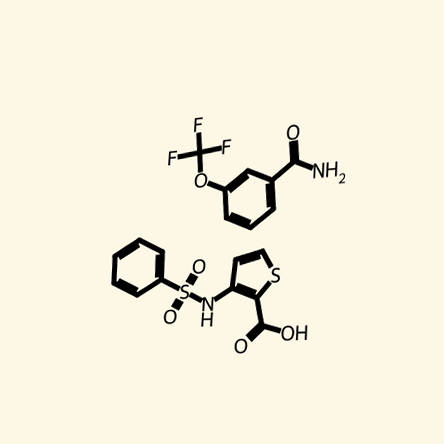 NC(=O)c1cccc(OC(F)(F)F)c1.O=C(O)c1sccc1NS(=O)(=O)c1ccccc1